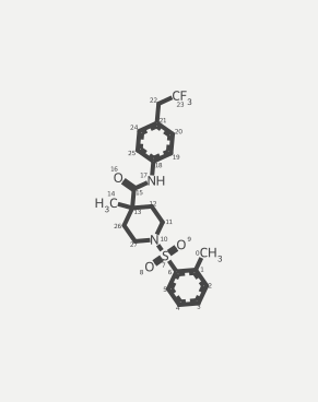 Cc1ccccc1S(=O)(=O)N1CCC(C)(C(=O)Nc2ccc(CC(F)(F)F)cc2)CC1